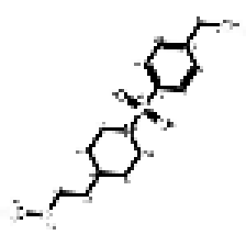 CCc1ccc(S(=O)(=O)N2CCC(CCOC)CC2)cc1